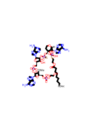 CCCCCCCCCCCCCCCCCC(=O)OCCSP(=O)(O)OC1[C@@H]2OCC[C@@]1(COP(O)(=S)O[C@H]1C(O)[C@@H](COP(=O)(O)O[C@H]3C(OC)[C@@H](COP(=O)(O)OCCO)O[C@H]3n3cnc4c(N)ncnc43)O[C@H]1n1cnc3c(N)ncnc31)O[C@H]2n1cnc2c(N)ncnc21